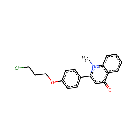 Cn1c(-c2ccc(OCCCCl)cc2)cc(=O)c2ccccc21